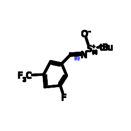 CC(C)(C)[S@@+]([O-])/N=C/c1cc(F)cc(C(F)(F)F)c1